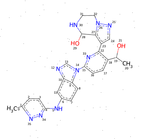 Cc1ccc(Nc2ccc3c(c2)ncn3-c2ccc(C(C)O)c(-c3cnn4c3C(O)NCC4)n2)nn1